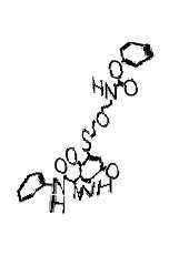 O=C(NCCOCCSC1=CC(=O)c2[nH]nc(C(=O)Nc3ccccc3)c2C1=O)Oc1ccccc1